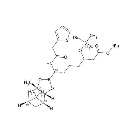 CC(C)(C)OC(=O)CC(CCC[C@@H](NC(=O)Cc1cccs1)B1O[C@@H]2[C@@H]3C[C@H](C[C@]2(C)O1)C3(C)C)O[Si](C)(C)C(C)(C)C